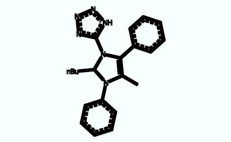 CCCCC1N(c2ccccc2)C(C)=C(c2ccccc2)N1c1nnn[nH]1